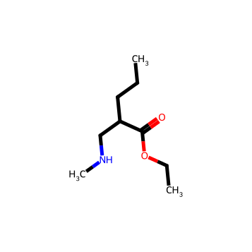 CCCC(CNC)C(=O)OCC